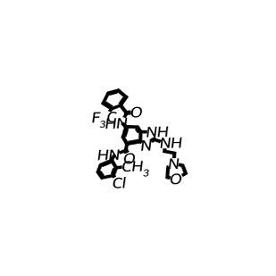 Cc1c(Cl)cccc1NC(=O)c1cc(NC(=O)c2ccccc2C(F)(F)F)cc2[nH]c(NCCN3CCOCC3)nc12